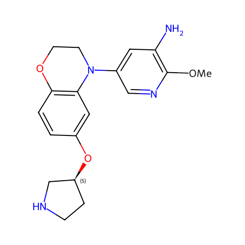 COc1ncc(N2CCOc3ccc(O[C@H]4CCNC4)cc32)cc1N